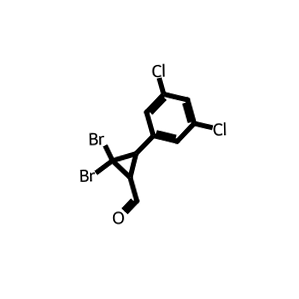 O=CC1C(c2cc(Cl)cc(Cl)c2)C1(Br)Br